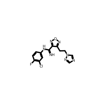 N=C(Nc1ccc(F)c(Cl)c1)c1nonc1CCn1cncn1